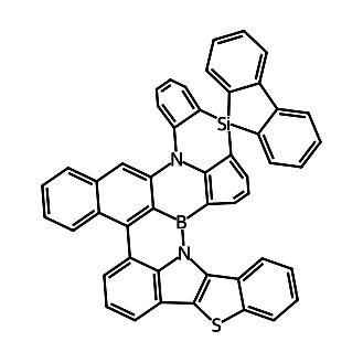 c1ccc2c(c1)-c1ccccc1[Si]21c2ccccc2N2c3cc4ccccc4c4c3B(c3cccc1c32)n1c2c-4cccc2c2sc3ccccc3c21